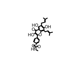 CNS(=O)(=O)c1ccc(-c2oc3c(CC=C(C)C)c(O)c(CC=C(C)C)c(O)c3c(=O)c2O)cc1